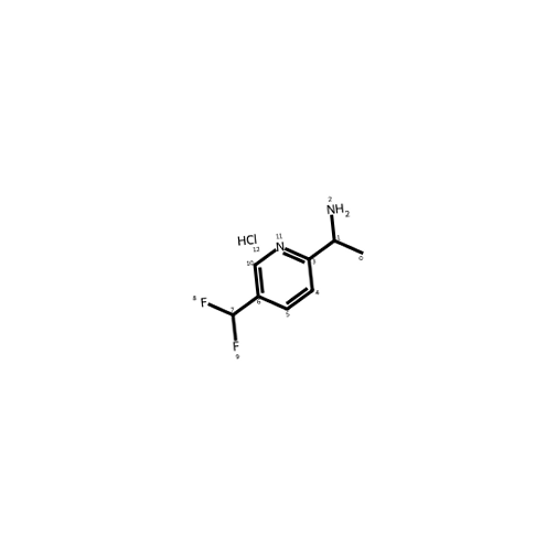 CC(N)c1ccc(C(F)F)cn1.Cl